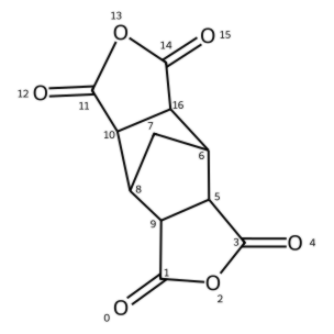 O=C1OC(=O)C2C3CC(C12)C1C(=O)OC(=O)C31